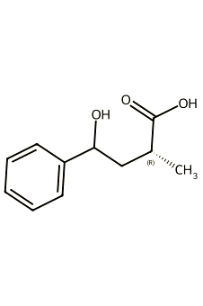 C[C@H](CC(O)c1ccccc1)C(=O)O